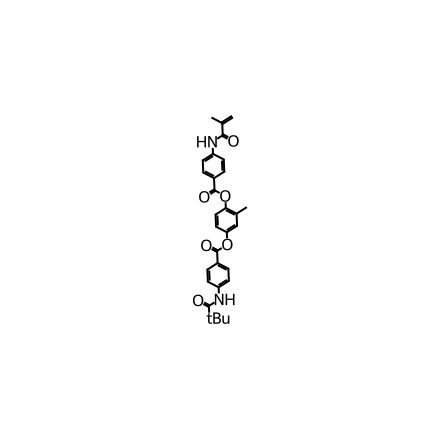 C=C(C)C(=O)Nc1ccc(C(=O)Oc2ccc(OC(=O)c3ccc(NC(=O)C(C)(C)C)cc3)cc2C)cc1